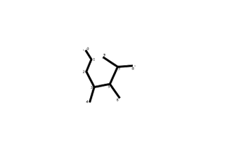 [CH2]CCC(C)C(C)C([CH2])C